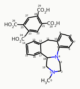 CN1CCN2c3ccccc3Cc3ccccc3C2C1.O=C(O)c1cc(C(=O)O)c(C(=O)O)cc1C(=O)O